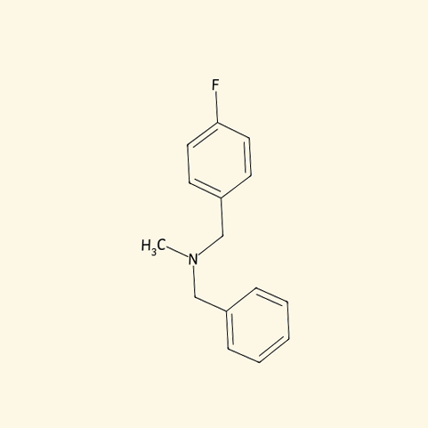 CN(Cc1ccccc1)Cc1ccc(F)cc1